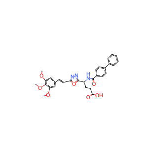 COc1cc(C=Cc2nnc([C@H](CCC(=O)O)NC(=O)c3ccc(-c4ccccc4)cc3)o2)cc(OC)c1OC